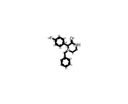 O=C1NCCN(Cc2ccccc2)C1c1ccc(F)cc1